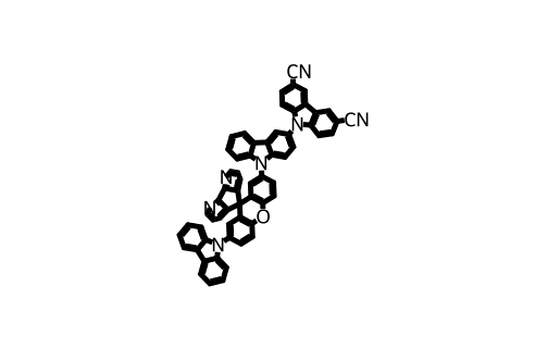 N#Cc1ccc2c(c1)c1cc(C#N)ccc1n2-c1ccc2c(c1)c1ccccc1n2-c1ccc2c(c1)C1(c3cc(-n4c5ccccc5c5ccccc54)ccc3O2)c2cccnc2-c2ncccc21